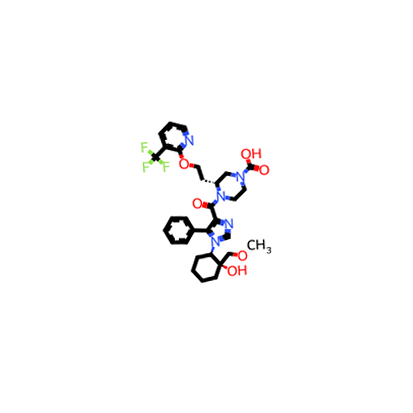 COC[C@]1(O)CCCC[C@H]1n1cnc(C(=O)N2CCN(C(=O)O)C[C@H]2CCOc2ncccc2C(F)(F)F)c1-c1ccccc1